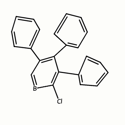 Clc1bcc(-c2ccccc2)c(-c2ccccc2)c1-c1ccccc1